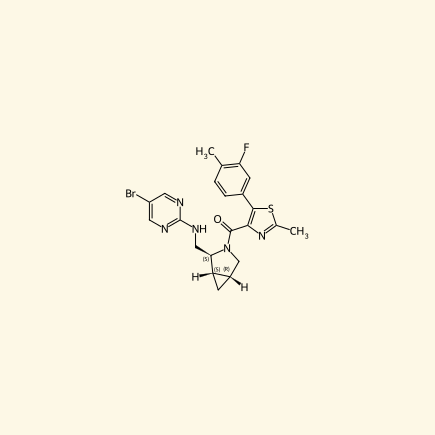 Cc1nc(C(=O)N2C[C@@H]3C[C@@H]3[C@H]2CNc2ncc(Br)cn2)c(-c2ccc(C)c(F)c2)s1